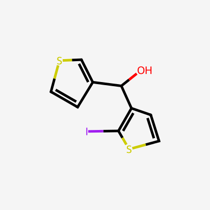 OC(c1ccsc1)c1ccsc1I